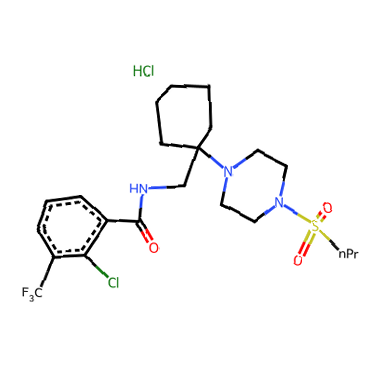 CCCS(=O)(=O)N1CCN(C2(CNC(=O)c3cccc(C(F)(F)F)c3Cl)CCCCC2)CC1.Cl